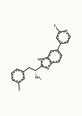 N[C@H](Cc1cccc(F)c1)c1nc2ccc(-c3ccnc(F)c3)cc2[nH]1